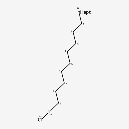 CCCCCCCCCCCCCCC[CH2][Ir][Cl]